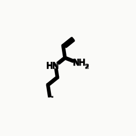 [CH2]CCNC(N)C=C